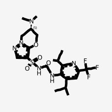 CC(C)c1cc(C(F)(F)F)nc(C(C)C)c1NC(=O)NS(=O)(=O)c1cnn2c1OC[C@@H](N(C)C)C2